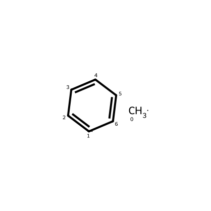 [CH3].[c]1ccccc1